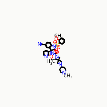 CCOc1ncccc1C1(NC(=O)N2CC3(C2)CN(C2CCN(C)CC2)C3)C(=O)N(S(=O)(=O)c2ccccc2OC)c2ccc(C#N)cc21